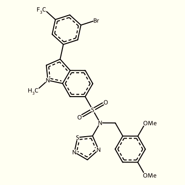 COc1ccc(CN(c2ncns2)S(=O)(=O)c2ccc3c(-c4cc(Br)cc(C(F)(F)F)c4)cn(C)c3c2)c(OC)c1